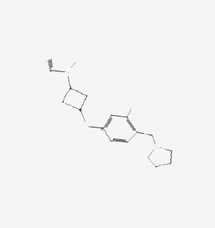 CN(C=O)C1CC(Oc2ccc(CN3CCCC3)c(Cl)c2)C1